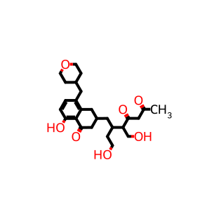 CC(=O)CC(=O)C(CO)C(CCO)CC1CC(=O)c2c(O)ccc(CC3CCOCC3)c2C1